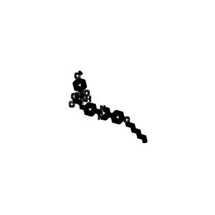 CCCCCCCOc1ccc(-c2cnc(-c3ccc(C[C@H](NS(=O)(=O)c4ccc(OC)cc4)C(=O)O)cc3)nc2)cc1